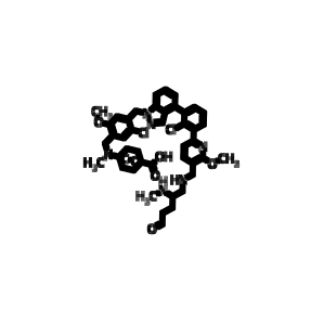 CNC(CCC=O)CNCc1ccc(-c2cccc(-c3cccc4c3cnn4Cc3cc(OC)c(CN(C)C45CCC(C(=O)O)(CC4)CC5)cc3Cl)c2Cl)nc1OC